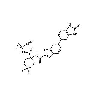 N#CC1(NC(=O)C2(NC(=O)c3cc4ccc(-c5ccc6[nH]c(=O)[nH]c6c5)cc4o3)CCC(F)(F)CC2)CC1